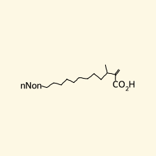 C=C(C(=O)O)C(C)CCCCCCCCCCCCCCCCCC